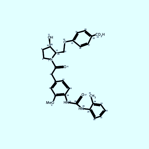 COc1cc(CC(=O)N2CC[C@@H](O)[C@H]2COc2ccc(C(=O)O)cc2)ccc1NC(=O)Nc1ccccc1C